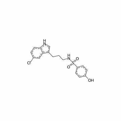 O=S(=O)(NCCCc1c[nH]c2ccc(Cl)cc12)c1ccc(O)cc1